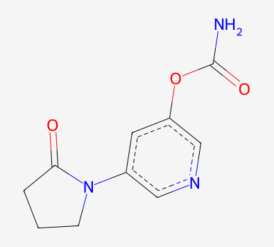 NC(=O)Oc1cncc(N2CCCC2=O)c1